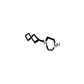 C1CC2(C1)CC(N1CCNCC1)C2